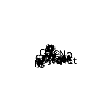 CCC(=O)N1CC2(CCN(c3nc4c(c(-c5ccccc5Cl)c3C#N)CCN(c3scnc3C)C4)C2)C1